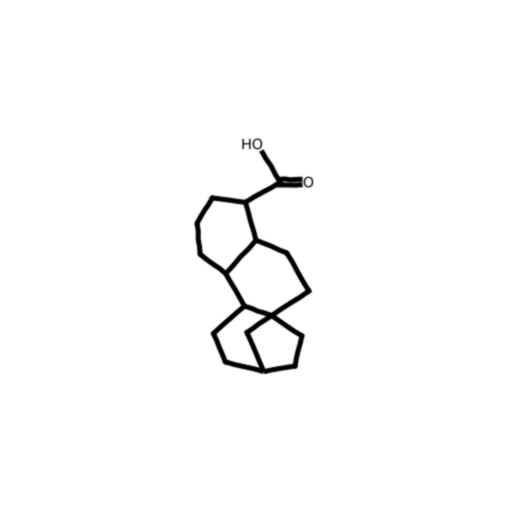 O=C(O)C1CCCC2C1CCC13CCC(CCC21)C3